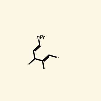 [CH2]C=C(C)C(C)C=CCCC